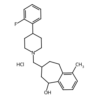 Cc1cccc2c1CCC(CN1CCC(c3ccccc3F)CC1)CC2O.Cl